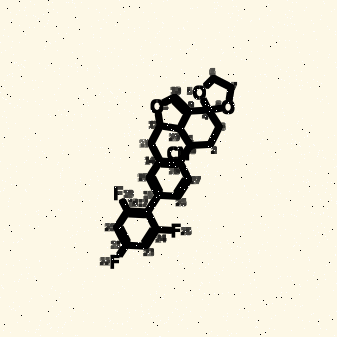 [C-]#[N+]C12CCC3(OCCO3)C3=COC(Cc4cc(-c5c(F)cc(F)cc5F)ccc41)C32